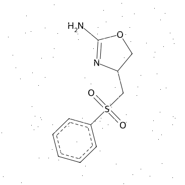 NC1=NC(CS(=O)(=O)c2ccccc2)CO1